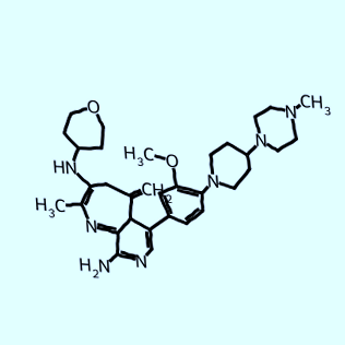 C=C1CC(NC2CCOCC2)=C(C)N=C2C(N)=NC=C(c3ccc(N4CCC(N5CCN(C)CC5)CC4)c(OC)c3)C12